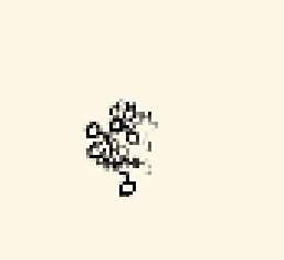 COc1cc([C@@H](C(=O)N2CCCC[C@H]2C(=O)N[C@@H](CCC2CCCCC2)C(N)=O)C2CCCCC2)cc(OC)c1OC